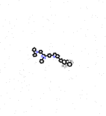 CCC1=C(C2=C(C)CC=CC=C2)C=Cc2ccc(-c3ccc4ccc(-c5ccc(-c6cc(-c7cccc(-n8c9ccccc9c9ccccc98)c7)nc(-c7ccccc7)n6)cc5)nc4c3)cc2C1